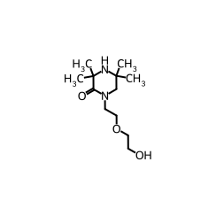 CC1(C)CN(CCOCCO)C(=O)C(C)(C)N1